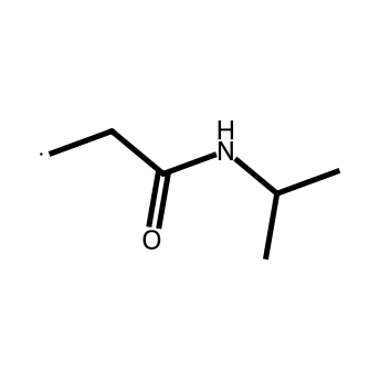 [CH2]CC(=O)NC(C)C